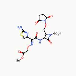 CC(C)(C)OC(=O)CO/N=C(/C(=O)NC1C(=O)N(S(=O)(=O)O)C1CON1C(=O)CCC1=O)c1csc(N)n1